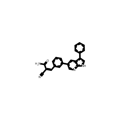 N#CC(=Cc1cccc(-c2cnc3[nH]cc(-c4ccccc4)c3c2)c1)C(N)=O